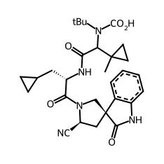 CC1(C(C(=O)N[C@@H](CC2CC2)C(=O)N2C[C@]3(C[C@H]2C#N)C(=O)Nc2ccccc23)N(C(=O)O)C(C)(C)C)CC1